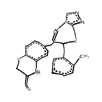 Cc1ccccc1C1Sc2nncn2N=C1c1ccc2c(c1)NC(=O)CO2